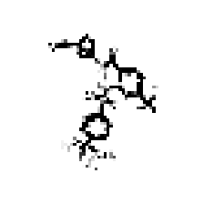 CC(C)(C)c1ccc(S(=O)(=O)Nc2cc(C(F)(F)F)ccc2C(=O)NC2CC3(C#N)CC2C3)cc1